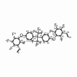 C=Cc1c(F)c(F)c(F)c(Oc2ccc(C(c3ccc(Oc4c(F)c(F)c(F)c(C=C)c4F)cc3)(C(F)(F)F)C(F)(F)F)cc2)c1F